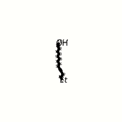 CCC=CC#CCCCCCCCCCO